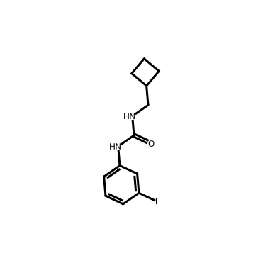 O=C(NCC1CCC1)Nc1cccc(I)c1